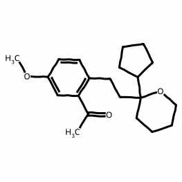 COc1ccc(CCC2(C3CCCC3)CCCCO2)c(C(C)=O)c1